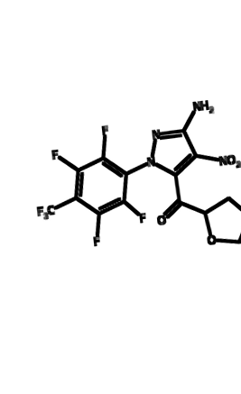 Nc1nn(-c2c(F)c(F)c(C(F)(F)F)c(F)c2F)c(C(=O)C2CCCO2)c1[N+](=O)[O-]